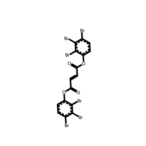 O=C(C=CC(=O)Oc1ccc(Br)c(Br)c1Br)Oc1ccc(Br)c(Br)c1Br